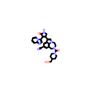 N#Cc1cc2c3c(c1)c(C1=C(c4cnc5ccccn45)C(=O)NC1)cn3CCN(C(=O)N1CCC(CO)CC1)C2